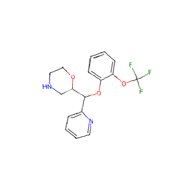 FC(F)(F)Oc1ccccc1OC(c1ccccn1)C1CNCCO1